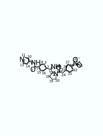 NC(c1ccc(C(=O)Nc2ccncc2)cc1)C1CCCN1C(=O)Cc1ccc([N+](=O)[O-])cc1